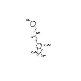 CCCC(=O)Oc1c(OC)cc(/C=C/C(=O)NCCc2ccc(O)cc2)cc1OC